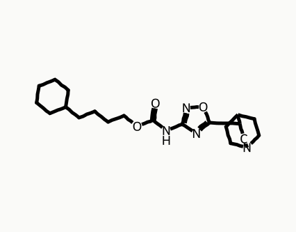 O=C(Nc1noc(C2CN3CCC2CC3)n1)OCCCCC1CCCCC1